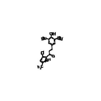 CC(C)(C)c1cc(CCC(=O)c2[nH]c(C(F)(F)F)cc2Cl)cc(C(C)(C)C)c1O